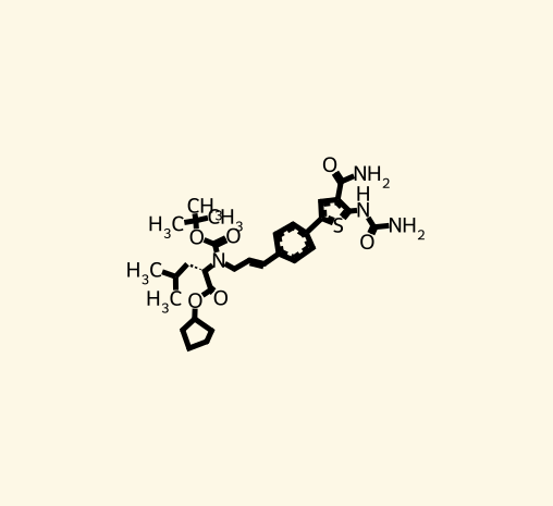 CC(C)C[C@@H](C(=O)OC1CCCC1)N(CC=Cc1ccc(-c2cc(C(N)=O)c(NC(N)=O)s2)cc1)C(=O)OC(C)(C)C